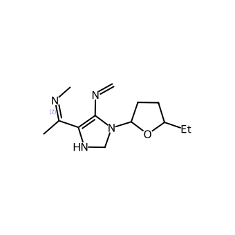 C=NC1=C(/C(C)=N\C)NCN1C1CCC(CC)O1